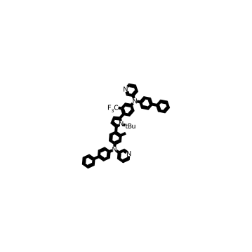 Cc1cc(N(c2ccc(-c3ccccc3)cc2)c2cccnc2)ccc1-c1ccc(-c2ccc(N(c3ccc(-c4ccccc4)cc3)c3cccnc3)cc2C(F)(F)F)n1C(C)(C)C